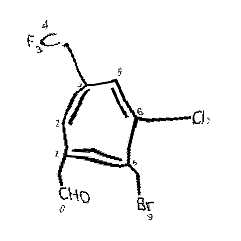 O=Cc1cc(C(F)(F)F)cc(Cl)c1Br